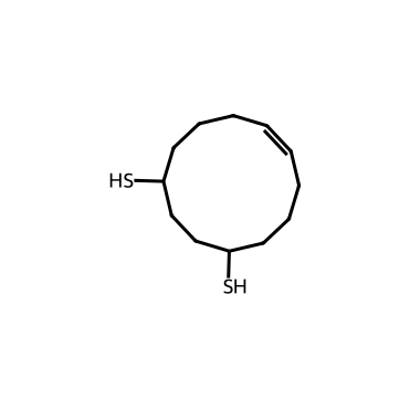 SC1CCCC=CCCCC(S)CC1